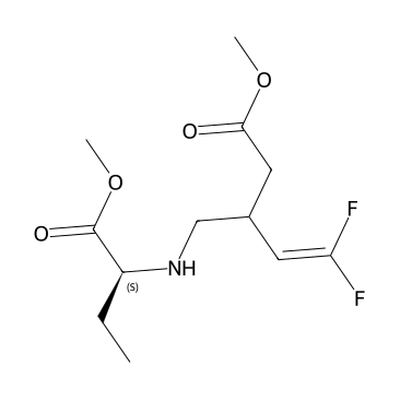 CC[C@H](NCC(C=C(F)F)CC(=O)OC)C(=O)OC